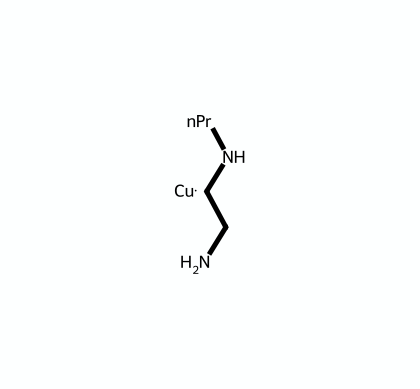 CCCNCCN.[Cu]